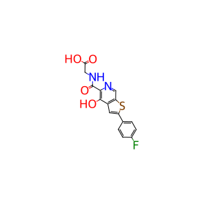 O=C(O)CNC(=O)c1ncc2sc(-c3ccc(F)cc3)cc2c1O